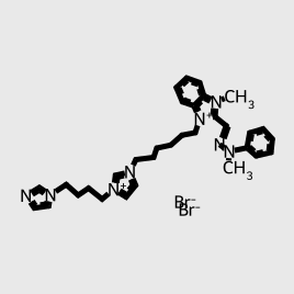 CN(N=Cc1n(C)c2ccccc2[n+]1CCCCCCn1cc[n+](CCCCn2ccnc2)c1)c1ccccc1.[Br-].[Br-]